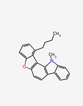 CCCCc1cccc2oc3ccc4c5ccccc5n(C)c4c3c12